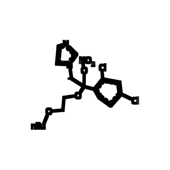 CCCCOCCOC([CH]n1ccnc1)(O[N+](=O)[O-])c1ccc(Cl)cc1Cl